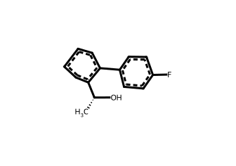 C[C@@H](O)c1ccccc1-c1ccc(F)cc1